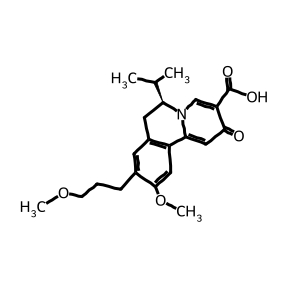 COCCCc1cc2c(cc1OC)-c1cc(=O)c(C(=O)O)cn1[C@H](C(C)C)C2